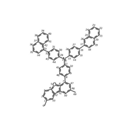 Cc1ccc2oc3c(-c4ccc(N(c5ccc(-c6ccc7ccccc7c6)cc5)c5ccc(-c6cccc7ccccc67)cc5)cc4)cc(C)cc3c2c1